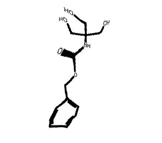 O=C(NC(CO)(CO)CO)OCc1ccccc1